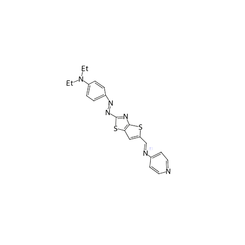 CCN(CC)c1ccc(N=Nc2nc3sc(/C=N/c4ccncc4)cc3s2)cc1